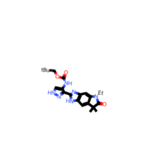 CCN1C(=O)C(C)(C)c2cc3[nH]c(-c4n[nH]cc4NC(=O)OCC(C)(C)C)nc3cc21